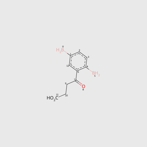 Bc1ccc(B)c(C(=O)CCC(=O)O)c1